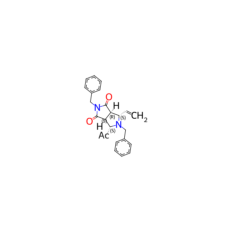 C=C[C@H]1[C@@H]2C(=O)N(Cc3ccccc3)C(=O)[C@@H]2[C@@H](C(C)=O)N1Cc1ccccc1